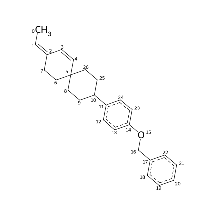 C/C=C1\C=CC2(CC1)CCC(c1ccc(OCc3ccccc3)cc1)CC2